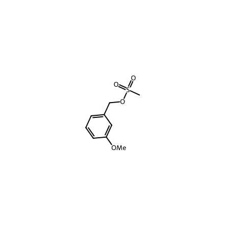 COc1cccc(COS(C)(=O)=O)c1